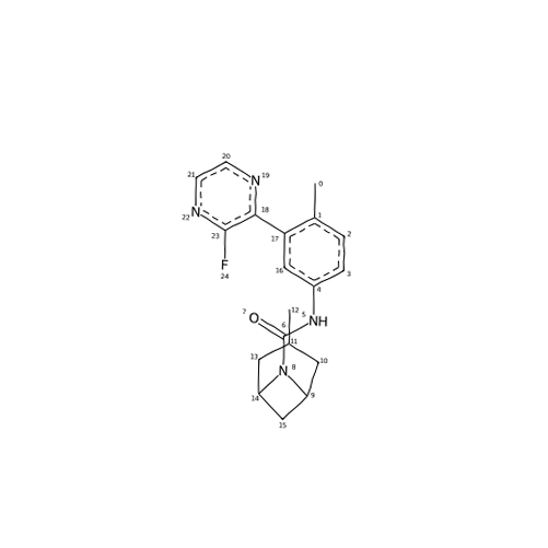 Cc1ccc(NC(=O)N2C3CC(C)CC2C3)cc1-c1nccnc1F